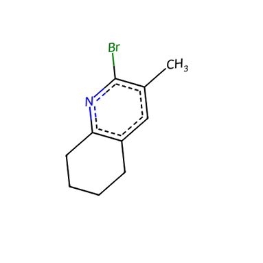 Cc1cc2c(nc1Br)CCCC2